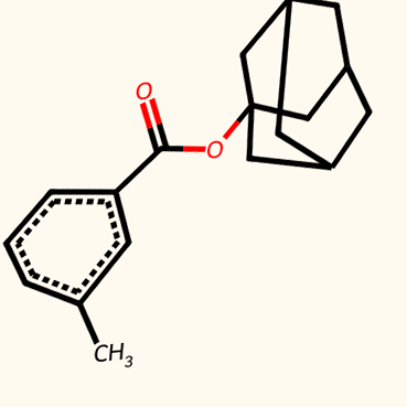 Cc1cccc(C(=O)OC23CC4CC(CC(C4)C2)C3)c1